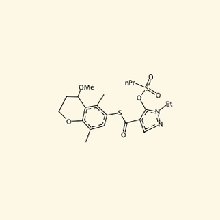 CCCS(=O)(=O)Oc1c(C(=O)Sc2cc(C)c3c(c2C)C(OC)CCO3)cnn1CC